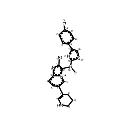 CCc1nc2ccc(C3=CNCCC3)cn2c1N(C)c1nc(-c2ccc(Cl)cc2)cs1